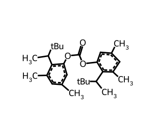 Cc1cc(C)c(C(C)C(C)(C)C)c(OC(=O)Oc2cc(C)cc(C)c2C(C)C(C)(C)C)c1